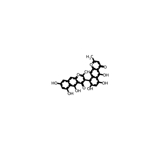 Cc1cc(=O)c2c(O)c3c(O)cc(O)c(-c4c(C)oc5cc6cc(O)cc(O)c6c(O)c5c4=O)c3cc2o1